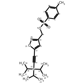 Cc1ccc(S(=O)(=O)OCc2cc(C#C[Si](C(C)C)(C(C)C)C(C)C)on2)cc1